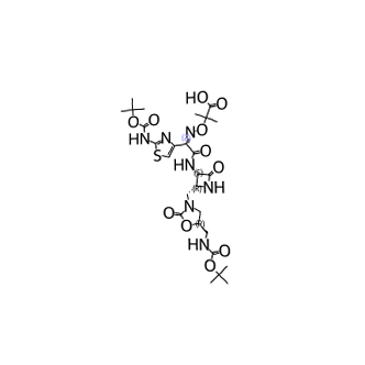 CC(C)(C)OC(=O)NC[C@@H]1CN(C[C@H]2NC(=O)[C@H]2NC(=O)/C(=N\OC(C)(C)C(=O)O)c2csc(NC(=O)OC(C)(C)C)n2)C(=O)O1